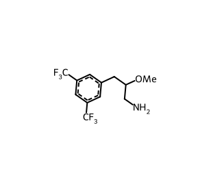 COC(CN)Cc1cc(C(F)(F)F)cc(C(F)(F)F)c1